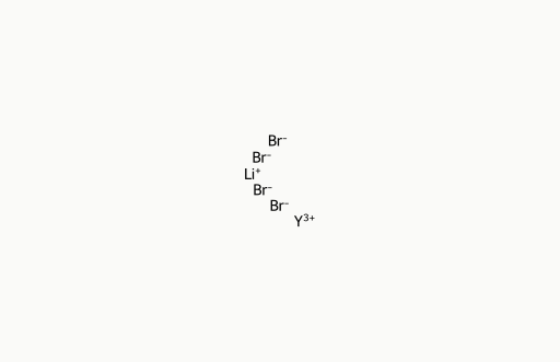 [Br-].[Br-].[Br-].[Br-].[Li+].[Y+3]